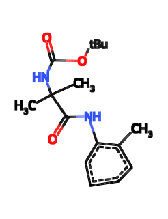 Cc1ccccc1NC(=O)C(C)(C)NC(=O)OC(C)(C)C